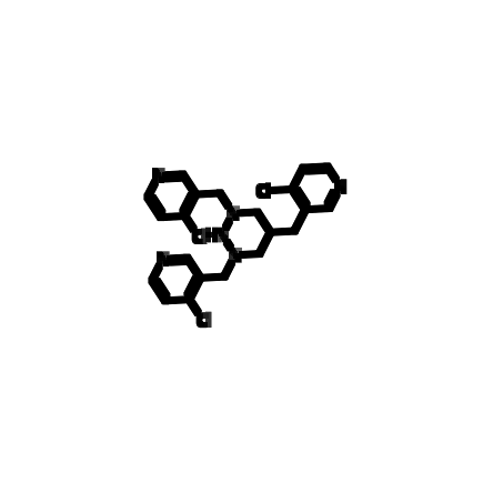 Clc1ccncc1CC1CN(Cc2cnccc2Cl)NN(Cc2cnccc2Cl)C1